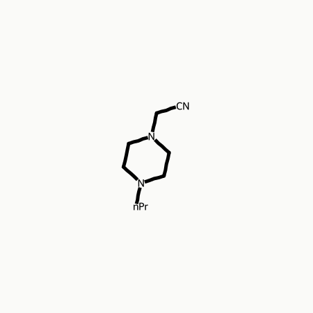 [CH2]CCN1CCN(CC#N)CC1